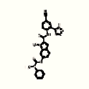 CN(C(=O)Nc1ccc2cc(C(=O)Nc3ccc(C#N)cc3-c3nnn[nH]3)n(C)c2c1)c1ccccc1